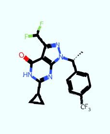 C[C@H](c1ccc(C(F)(F)F)cc1)n1nc(C(F)F)c2c(=O)[nH]c(C3CC3)nc21